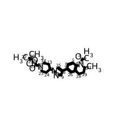 CC(=O)N1c2ccc(-c3cnn(C4CCN(C(=O)OC(C)(C)C)CC4)c3)cc2CC[C@@H]1C